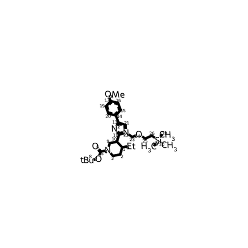 CCC1CCN(C(=O)OC(C)(C)C)CC1c1nc(-c2ccc(OC)cc2)cn1COCC[Si](C)(C)C